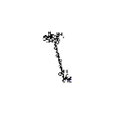 C/C=C\C(=O)N(C=O)CCC(=O)NCCOCCOCCOCCCOCCC(=O)N[C@@H](CC(=O)N[C@H]1CCOC1=O)C(=O)C(C)(N)C(C)C